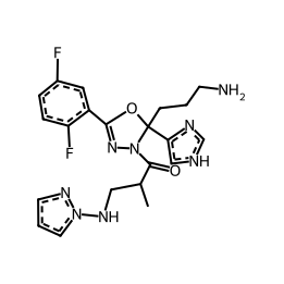 CC(CNn1cccn1)C(=O)N1N=C(c2cc(F)ccc2F)OC1(CCCN)c1c[nH]cn1